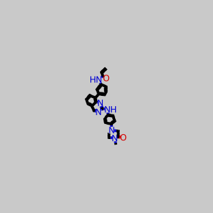 C=CC(=O)Nc1cccc(-c2cccc3cnc(Nc4ccc(N5CCN(C)C(=O)C5)cc4)nc23)c1